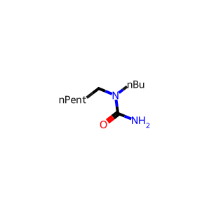 CCCCCCN(CCCC)C(N)=O